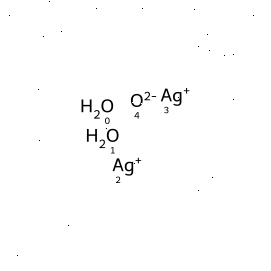 O.O.[Ag+].[Ag+].[O-2]